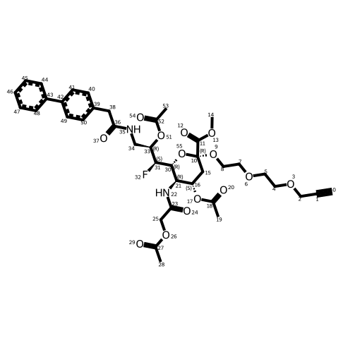 C#CCOCCOCCO[C@]1(C(=O)OC)C[C@H](OC(C)=O)[C@@H](NC(=O)COC(C)=O)[C@H]([C@@H](F)[C@@H](CNC(=O)Cc2ccc(-c3ccccc3)cc2)OC(C)=O)O1